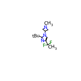 CN1CC(n2cc(C(C)(F)F)nc2C(C)(C)C)C1